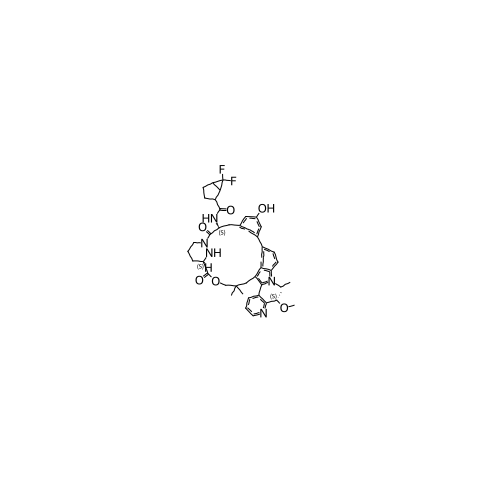 CCn1c(-c2cccnc2[C@H](C)OC)c2c3cc(ccc31)-c1cc(O)cc(c1)C[C@H](NC(=O)C1CCC3C1C3(F)F)C(=O)N1CCC[C@H](N1)C(=O)OCC(C)(C)C2